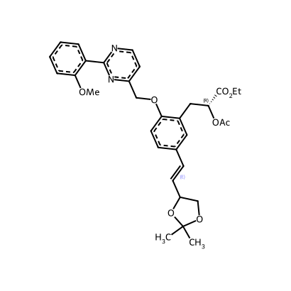 CCOC(=O)[C@@H](Cc1cc(/C=C/C2COC(C)(C)O2)ccc1OCc1ccnc(-c2ccccc2OC)n1)OC(C)=O